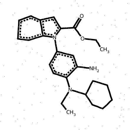 CCOC(=O)c1cc2ccccc2n1-c1ccc(N(CC)C2CCCCC2)c(N)c1